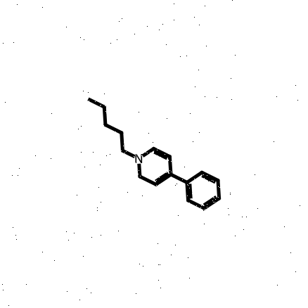 CCCCCN1C=CC(c2ccccc2)=CC1